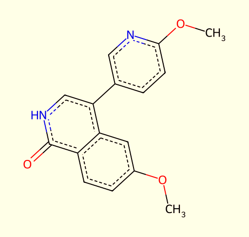 COc1ccc2c(=O)[nH]cc(-c3ccc(OC)nc3)c2c1